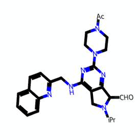 CC(=O)N1CCN(c2nc(NCc3ccc4ccccc4n3)c3c(n2)C(C=O)N(C(C)C)C3)CC1